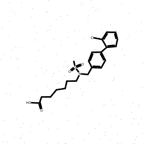 CS(=O)(=O)N(CCCCCCC(=O)O)Cc1ccc(-c2ccccc2Cl)cc1